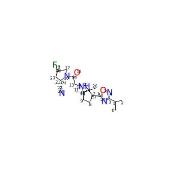 CC(C)c1noc([C@H]2CC[C@@](C)(NCC(=O)N3C[C@@H](F)C[C@H]3C#N)C2(C)C)n1